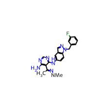 CNN=C(C)c1c(N)ncnc1Nc1ccc2c(cnn2Cc2cccc(F)c2)c1